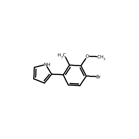 COc1c(Br)ccc(-c2ccc[nH]2)c1C